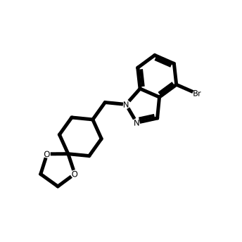 Brc1cccc2c1cnn2CC1CCC2(CC1)OCCO2